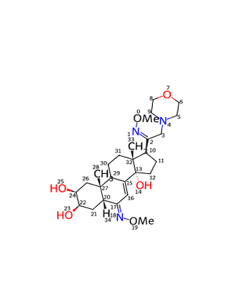 CON=C(CN1CCOCC1)[C@H]1CC[C@@]2(O)C3=C/C(=N\OC)[C@@H]4C[C@@H](O)[C@@H](O)C[C@]4(C)C3CC[C@]12C